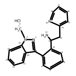 Cl.Cn1nc(-c2ccccc2C(N)Cc2ccccn2)c2ccccc21